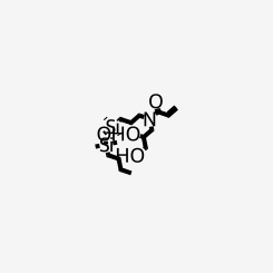 C=CC(=O)N(CCC[Si](C)(C)O[Si](C)(C)CCCC)CC(O)CO